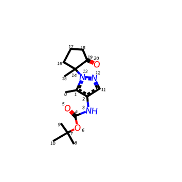 Cc1c(NC(=O)OC(C)(C)C)cnn1C1(C)CCCC1=O